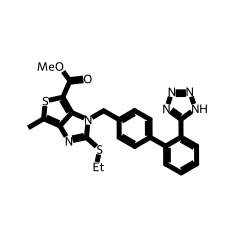 CCSc1nc2c(C)sc(C(=O)OC)c2n1Cc1ccc(-c2ccccc2-c2nnn[nH]2)cc1